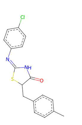 Cc1ccc(CC2S/C(=N/c3ccc(Cl)cc3)NC2=O)cc1